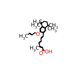 CC=CCOc1cc2c(cc1C=CC=CC(C)=CC(=O)O)C(C)(C)CCC2(C)C